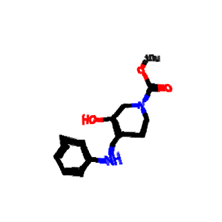 CC(C)(C)OC(=O)N1CCC(Nc2ccccc2)C(O)C1